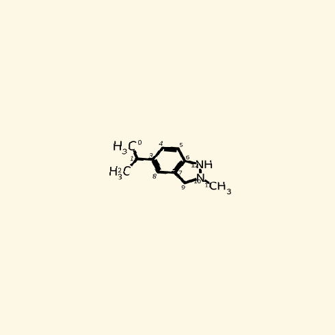 CC(C)c1ccc2c(c1)CN(C)N2